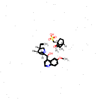 C=C[C@@H]1CN2CC[C@H]1C[C@@H]2[C@@H](O)c1ccnc2ccc(OC)cc12.CC1(C)[C@@H]2CC[C@@]1(CS(=O)(=O)O)C(=O)C2